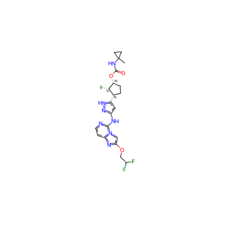 CC1(NC(=O)O[C@@H]2CC[C@H](c3cc(Nc4nccc5nc(OCC(F)F)cn45)n[nH]3)[C@@H]2F)CC1